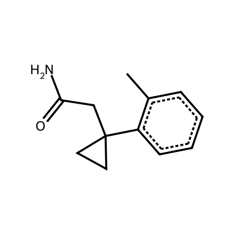 Cc1ccccc1C1(CC(N)=O)CC1